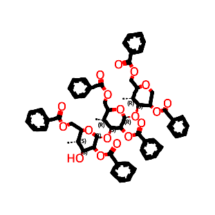 C[C@@H]1C(COC(=O)c2ccccc2)O[C@H](O[C@@H]2C(OC(=O)c3ccccc3)[C@@H](O[C@@H]3C(OC(=O)c4ccccc4)COC(COC(=O)c4ccccc4)[C@H]3C)OC(COC(=O)c3ccccc3)[C@H]2C)C(OC(=O)c2ccccc2)[C@H]1O